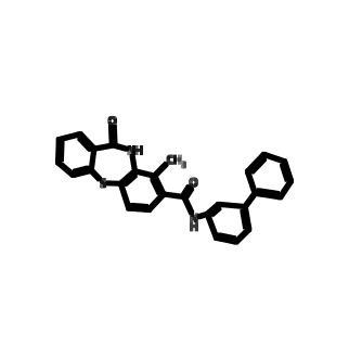 Cc1c(C(=O)Nc2cccc(-c3ccccc3)c2)ccc2c1NC(=O)c1ccccc1S2